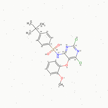 COc1ccccc1Oc1c(Cl)nc(Cl)nc1NS(=O)(=O)c1ccc(C(C)(C)C)cc1